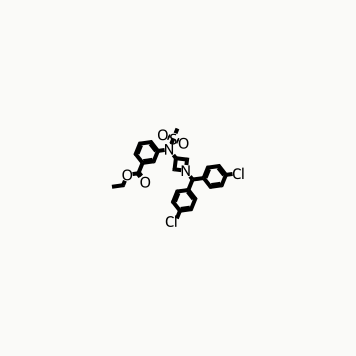 CCOC(=O)c1cccc(N(C2CN(C(c3ccc(Cl)cc3)c3ccc(Cl)cc3)C2)S(C)(=O)=O)c1